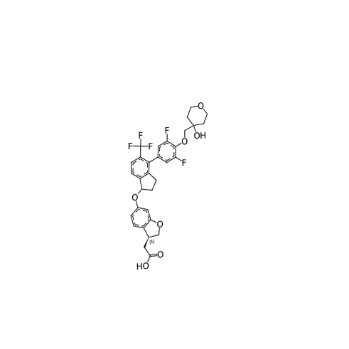 O=C(O)C[C@@H]1COc2cc(OC3CCc4c3ccc(C(F)(F)F)c4-c3cc(F)c(OCC4(O)CCOCC4)c(F)c3)ccc21